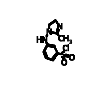 CC1=NCCN1Nc1cccc(S(=O)(=O)Cl)c1